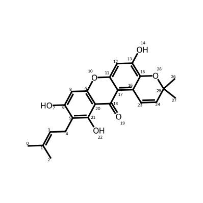 CC(C)=CCc1c(O)cc2oc3cc(O)c4c(c3c(=O)c2c1O)C=CC(C)(C)O4